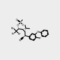 CC1(C)[C@@H]([C@@H](OS(C)(=O)=O)C(Br)(Br)Br)[C@H]1[C@H](C#N)c1ccc(F)c(Oc2ccccc2)c1